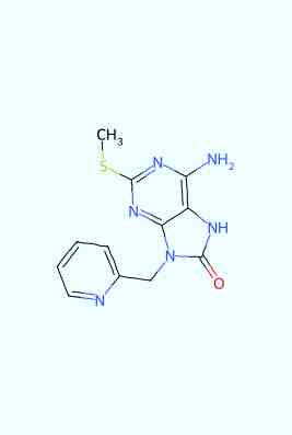 CSc1nc(N)c2[nH]c(=O)n(Cc3ccccn3)c2n1